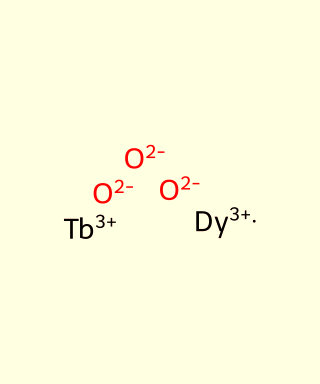 [Dy+3].[O-2].[O-2].[O-2].[Tb+3]